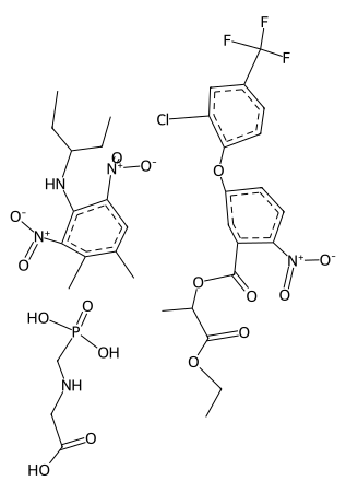 CCC(CC)Nc1c([N+](=O)[O-])cc(C)c(C)c1[N+](=O)[O-].CCOC(=O)C(C)OC(=O)c1cc(Oc2ccc(C(F)(F)F)cc2Cl)ccc1[N+](=O)[O-].O=C(O)CNCP(=O)(O)O